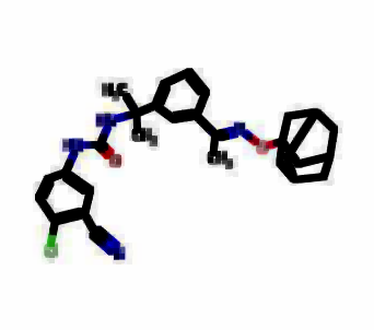 C/C(=N\OC12CC3CC(CC(C3)C1)C2)c1cccc(C(C)(C)NC(=O)Nc2ccc(Cl)c(C#N)c2)c1